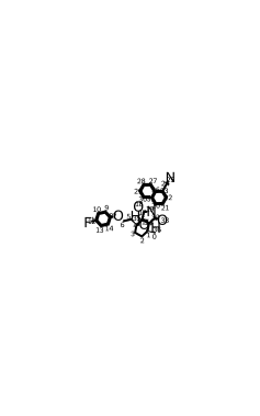 C[C@@]12CC[C@@](CCOc3ccc(F)cc3)(O1)[C@H]1C(=O)N(c3ccc(C#N)c4ccccc34)C(=O)[C@H]12